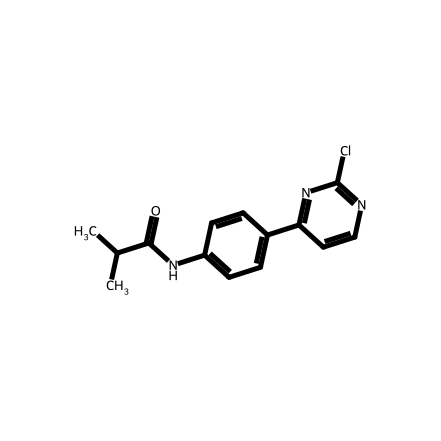 CC(C)C(=O)Nc1ccc(-c2ccnc(Cl)n2)cc1